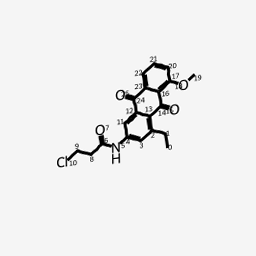 CCc1cc(NC(=O)CCCl)cc2c1C(=O)c1c(OC)cccc1C2=O